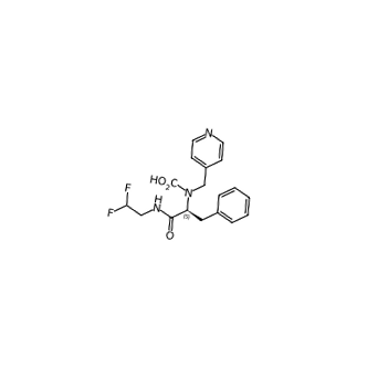 O=C(NCC(F)F)[C@H](Cc1ccccc1)N(Cc1ccncc1)C(=O)O